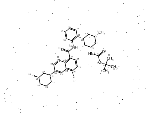 C[C@@H]1C[C@H](NC(=O)OC(C)(C)C)C[C@H](c2ccncc2NC(=O)c2ccc(F)c3cc(N4CCC[C@@H](F)C4)cnc23)C1